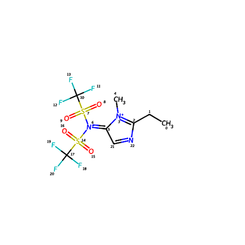 CCC1=[N+](C)C(=[N+](S(=O)(=O)C(F)(F)F)S(=O)(=O)C(F)(F)F)C=N1